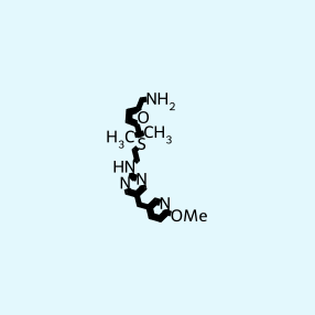 COc1ccc(Cc2cnc(NCCSC(C)(C)c3ccc(CN)o3)nc2)cn1